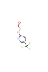 O=CCOc1ccc(C(F)(F)F)cn1